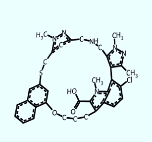 Cc1nn(C)c2c1-c1c(Cl)ccc3c(c(C(=O)O)n(C)c13)CCCOc1cc(cc3ccccc13)SCc1cc(nn1C)CNC2